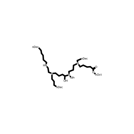 CCCCCCCCCCCCCCCNCCN(CCCCCCCCCCCCC)CCCC(O)N(CCC)CCCN(CCCCCCCCCCC)CCCCC(=O)OCCCCCCCC